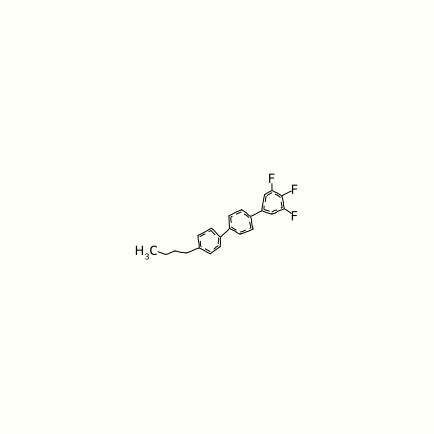 CCCCc1ccc(-c2ccc(-c3cc(F)c(F)c(F)c3)cc2)cc1